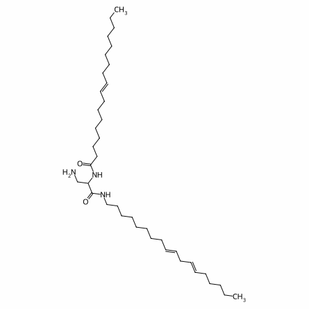 CCCCCC=CCC=CCCCCCCCCNC(=O)C(CN)NC(=O)CCCCCCCC=CCCCCCCCC